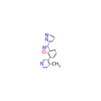 Cc1ccncc1-c1cccc2c(-c3cccnn3)noc12